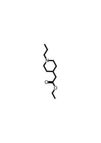 CCCN1CCC(CC(=O)OCC)CC1